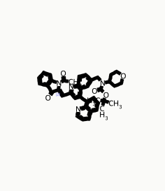 CC(=O)N1/C(=C\c2cc(-c3cccc4cccnc34)c3cc(CN(C(=O)OC(C)(C)C)C4CCOCC4)ccc3n2)C(=O)c2ccccc21